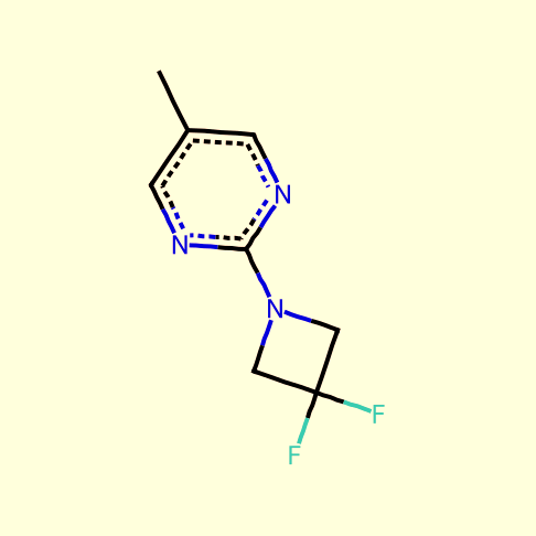 Cc1cnc(N2CC(F)(F)C2)nc1